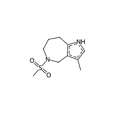 Cc1c[nH]c2c1CN(S(C)(=O)=O)CCC2